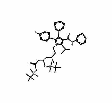 CC(C)c1c(C(=O)Nc2ccccc2)c(-c2ccccc2)c(-c2ccc(F)cc2)n1CC[C@@H](C)C[C@H](CC(=O)O[Si](C)(C)C(C)(C)C)O[Si](C)(C)C(C)(C)C